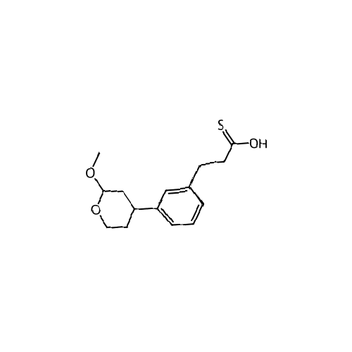 COC1CC(c2cccc(CCC(O)=S)c2)CCO1